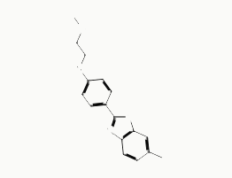 COCCNc1ccc(-c2nc3ccc(C)cc3s2)cc1